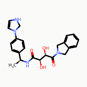 C[C@H](NC(=O)[C@H](O)[C@@H](O)C(=O)N1Cc2ccccc2C1)c1ccc(N2C=CNC2)cc1